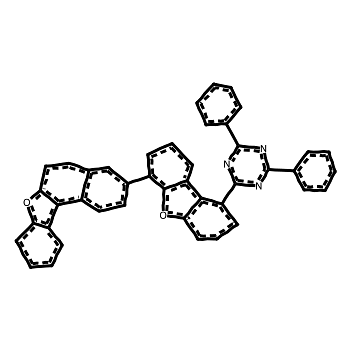 c1ccc(-c2nc(-c3ccccc3)nc(-c3cccc4oc5c(-c6ccc7c(ccc8oc9ccccc9c87)c6)cccc5c34)n2)cc1